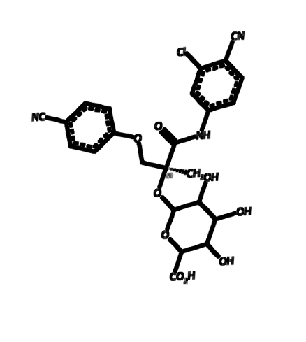 C[C@@](COc1ccc(C#N)cc1)(OC1OC(C(=O)O)C(O)C(O)C1O)C(=O)Nc1ccc(C#N)c(Cl)c1